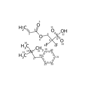 C=CC(=O)OCC(F)(F)S(=O)(=O)O.C[N+](C)(C)Cc1ccccc1